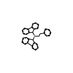 c1ccc(CCN(C2c3ccccc3-c3ccccc32)C2c3ccccc3-c3ccccc32)cc1